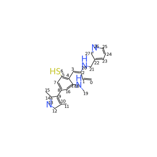 C=C/C(=C\c1c(S)cc(C2=C(C)CN=C2C)cc1NC)NCc1cccnc1